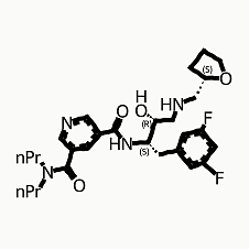 CCCN(CCC)C(=O)c1cncc(C(=O)N[C@@H](Cc2cc(F)cc(F)c2)[C@H](O)CNC[C@@H]2CCCO2)c1